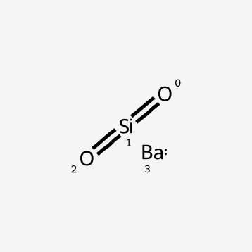 O=[Si]=O.[Ba]